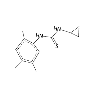 Cc1cc(C)c(NC(=S)NC2CC2)cc1C